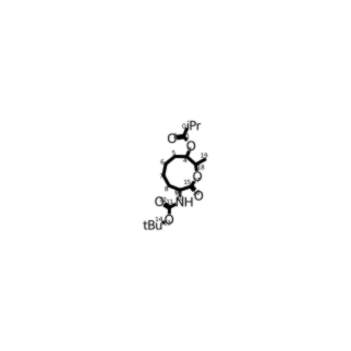 CC(C)C(=O)OC1CCCC[C@H](NC(=O)OC(C)(C)C)C(=O)OC1C